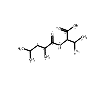 CC(C)CC(N)C(=O)NC(C(=O)O)C(C)C